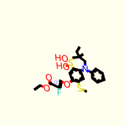 CCOC(=O)/C(F)=C/Oc1cc2c(cc1SC)N(c1ccccc1)CC(C)(CC)CS2(O)O